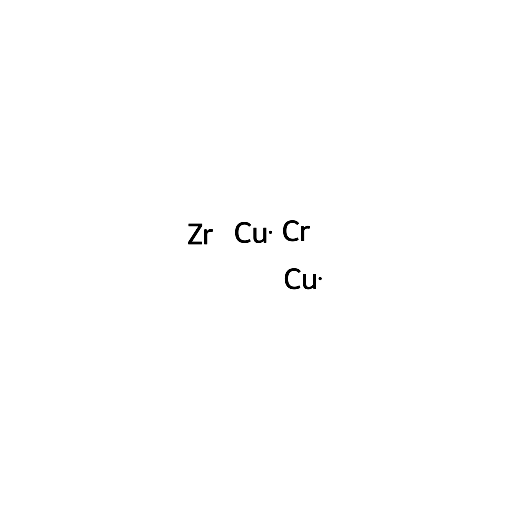 [Cr].[Cu].[Cu].[Zr]